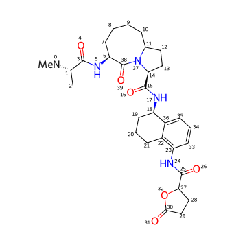 CN[C@@H](C)C(=O)N[C@H]1CCCCC2CC[C@@H](C(=O)N[C@@H]3CCCc4c(NC(=O)C5CCC(=O)O5)cccc43)N2C1=O